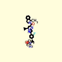 C[C@@H]1c2ccccc2CCN1C(=O)c1cc(C2CC2)n2nc(-c3ccc([C@H]4C[C@@H]4NP(C)(C)=O)cc3F)cc2n1